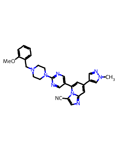 COc1ccccc1CN1CCN(c2ncc(-c3cc(-c4cnn(C)c4)cc4ncc(C#N)n34)cn2)CC1